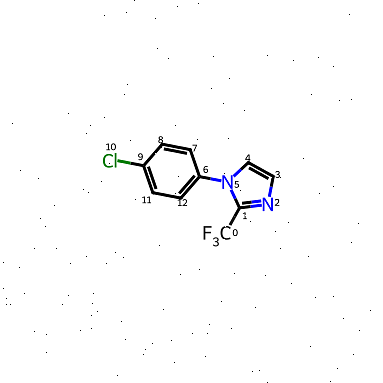 FC(F)(F)c1nccn1-c1ccc(Cl)cc1